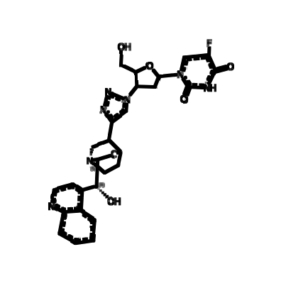 O=c1[nH]c(=O)n(C2CC(n3cc(C4C[N@@]5CCC4CC5[C@H](O)c4ccnc5ccccc45)nn3)C(CO)O2)cc1F